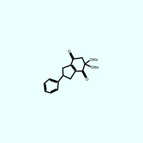 COC1(OC)CC(=O)C2=C(CC(c3ccccc3)C2)C1=O